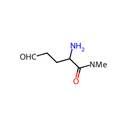 CNC(=O)C(N)CCC=O